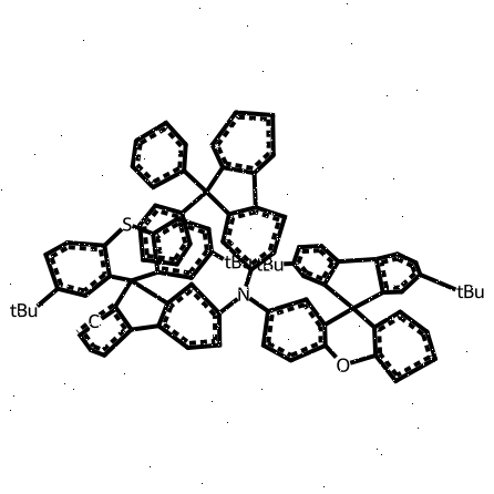 CC(C)(C)c1ccc2c(c1)C1(c3cc(C(C)(C)C)ccc3S2)c2ccccc2-c2ccc(N(c3ccc4c(c3)C3(c5ccccc5O4)c4cc(C(C)(C)C)ccc4-c4ccc(C(C)(C)C)cc43)c3ccc4c(c3)C(c3ccccc3)(c3ccccc3)c3ccccc3-4)cc21